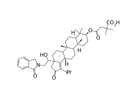 CC(C)C1=C2[C@H]3CC[C@@H]4[C@@]5(C)CC[C@H](OC(=O)CC(C)(C)C(=O)O)C(C)(C)[C@@H]5CC[C@@]4(C)[C@]3(C)CCC2(C(O)CN2Cc3ccccc3C2=O)CC1=O